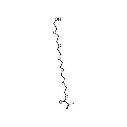 C=C(C)C(=O)OCCOCCOCCOCCOCCOCCO